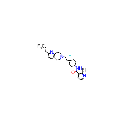 CCc1ncccc1C(=O)N[C@H]1CC[C@](F)(CCN2CCc3ccc(CCC(F)(F)F)nc3CC2)CC1